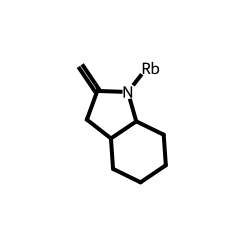 C=C1CC2CCCCC2[N]1[Rb]